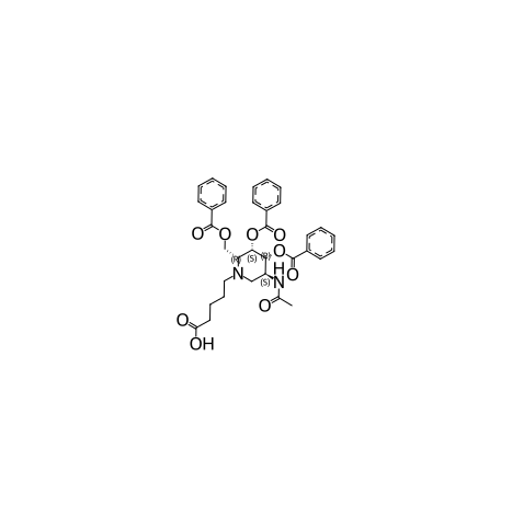 CC(=O)N[C@H]1CN(CCCCC(=O)O)[C@H](COC(=O)c2ccccc2)[C@H](OC(=O)c2ccccc2)[C@@H]1OC(=O)c1ccccc1